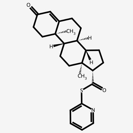 C[C@]12CC[C@H]3[C@@H](CCC4=CC(=O)CC[C@@]43C)[C@@H]1CC[C@@H]2C(=O)Sc1ccccn1